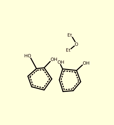 CCOCC.Oc1ccccc1O.Oc1ccccc1O